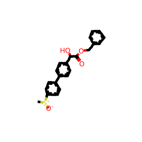 C[S+]([O-])c1ccc(-c2ccc(C(O)C(=O)OCc3ccccc3)cc2)cc1